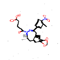 Cc1cc(C2=NN(C(=O)C=CCC(=O)O)[C@@H](C)Cc3cc4c(cc32)OCO4)ccc1[N+](=O)[O-]